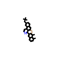 Cc1cccc2cc3c(c(C)c12)Sc1cc2ccc(CC(C)(C)C)cc2c2ccnc-3c12